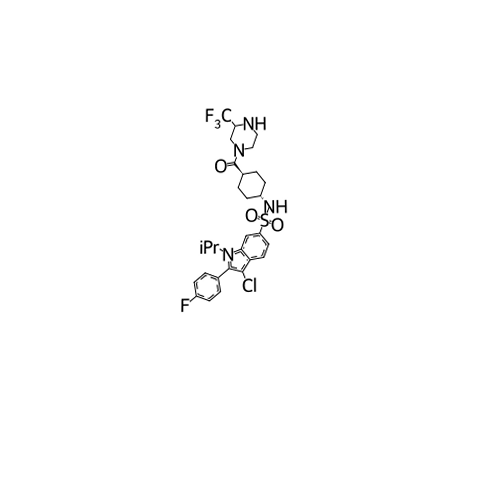 CC(C)n1c(-c2ccc(F)cc2)c(Cl)c2ccc(S(=O)(=O)N[C@H]3CC[C@H](C(=O)N4CCNC(C(F)(F)F)C4)CC3)cc21